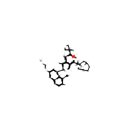 C#Cc1c(F)ccc2cc(OCOC)cc(-c3ncc4c(N5CC6CCC(C5)N6C(=O)OC(C)(C)C)nc(C5(F)COC5)c(C)c4c3F)c12